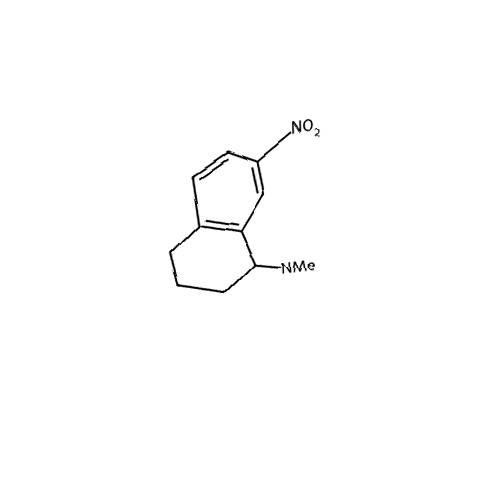 CNC1CCCc2ccc([N+](=O)[O-])cc21